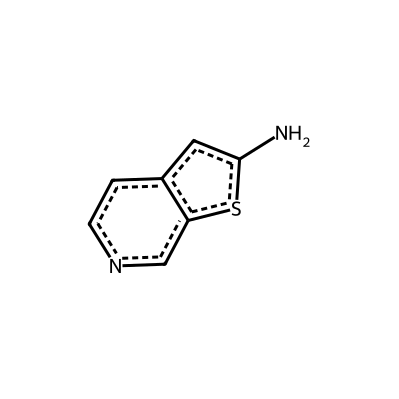 Nc1cc2ccncc2s1